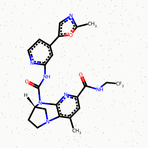 Cc1ncc(-c2ccnc(NC(=O)N3c4nc(C(=O)NCC(F)(F)F)cc(C)c4N4CC[C@H]3C4)c2)o1